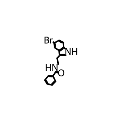 O=C(NCCc1c[nH]c2ccc(Br)cc12)c1ccccc1